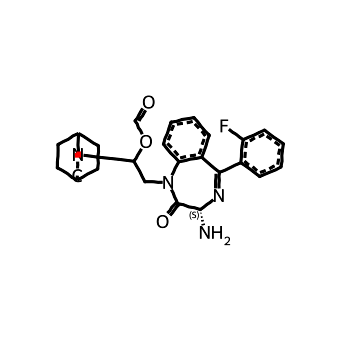 N[C@H]1N=C(c2ccccc2F)c2ccccc2N(CC(OC=O)N2CC3CCC(CC3)C2)C1=O